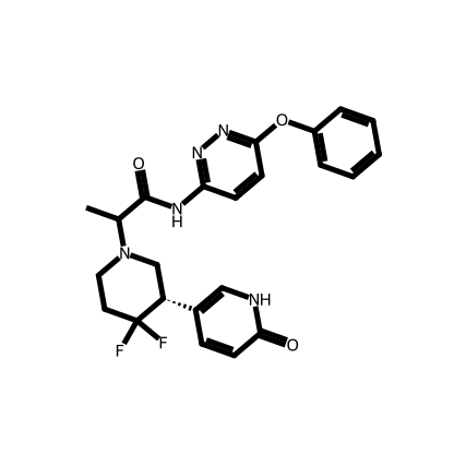 CC(C(=O)Nc1ccc(Oc2ccccc2)nn1)N1CCC(F)(F)[C@@H](c2ccc(=O)[nH]c2)C1